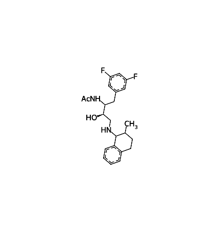 CC(=O)NC(Cc1cc(F)cc(F)c1)[C@H](O)CNC1c2ccccc2CCC1C